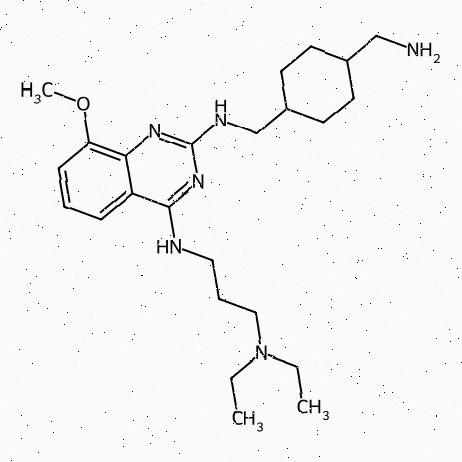 CCN(CC)CCCNc1nc(NCC2CCC(CN)CC2)nc2c(OC)cccc12